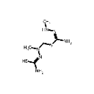 CN/N=C(/N)SCN(C)/N=C(/N)S